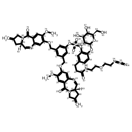 C=C1C[C@H]2C=Nc3cc(OCc4cc(COc5cc6c(cc5OC)C(=O)N5CC(=C)C[C@H]5C=N6)cc(OS(=O)(=O)Oc5cc(CCC(=O)NCCOCCN=[N+]=[N-])ccc5O[C@@H]5O[C@H](CO)[C@H](O)[C@H](O)[C@H]5O)c4)c(OC)cc3C(=O)N2C1